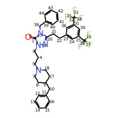 O=c1n(CCCN2CCC(Cc3ccccc3)CC2)nc(CCc2cc(C(F)(F)F)cc(C(F)(F)F)c2)n1Cc1ccccc1